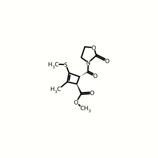 COC(=O)[C@H]1C(C)=C(SC)[C@@H]1C(=O)N1CCOC1=O